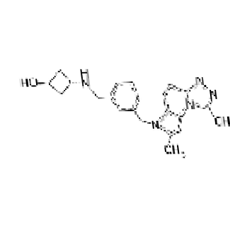 Cc1cc2c(ccc3nnc(C)n32)n1Cc1cccc(CN[C@H]2C[C@H](O)C2)c1